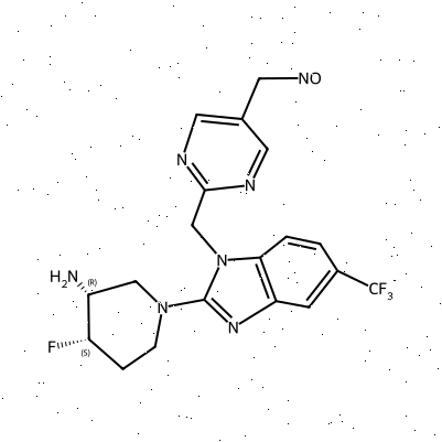 N[C@@H]1CN(c2nc3cc(C(F)(F)F)ccc3n2Cc2ncc(CN=O)cn2)CC[C@@H]1F